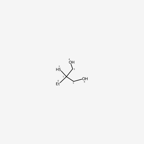 CCC(S)(CO)CO